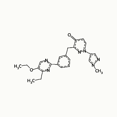 CCOc1cnc(-c2cccc(Cc3nn(-c4cnn(C)c4)ccc3=O)c2)nc1CC